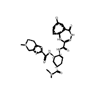 CN1CCc2nc(C(=O)N[C@@H]3C[C@@H](C(=O)N(C)C)CC[C@@H]3NC(=O)C3=NNC(=O)c4cc(Cl)ccc4N3)sc2C1